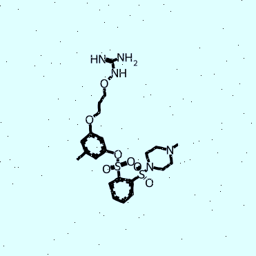 Cc1cc(OCCCONC(=N)N)cc(OS(=O)(=O)c2ccccc2S(=O)(=O)N2CCN(C)CC2)c1